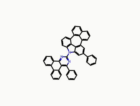 c1ccc(-c2cc3c4c5c(cccc5n(-c5nc(-c6ccccc6)c6c7ccccc7c7ccccc7c6n5)c4c2)-c2cccc4cccc-3c24)cc1